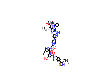 CC(=O)c1c(C)c2cnc(Nc3ccc(N4CCN(C(=O)CC(=O)N[C@H](C(=O)N5C[C@H](O)C[C@H]5C(=O)NCc5ccc(-c6scnc6C)cc5)C(C)(C)C)CC4)cn3)nc2n(C2CCCC2)c1=O